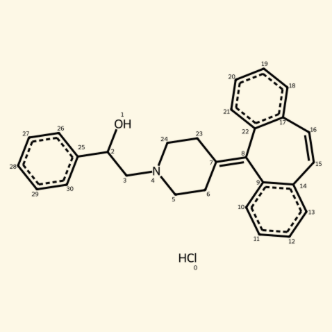 Cl.OC(CN1CCC(=C2c3ccccc3C=Cc3ccccc32)CC1)c1ccccc1